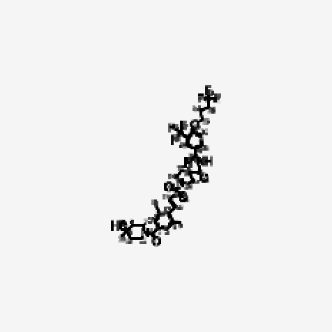 Cc1cc(C(=O)N2CCC(C)(O)CC2)cc(C)c1C=CS(=O)(=O)N1CCC2(CC1)N=C(c1ccc(OCCCC(F)(F)F)c(C(F)(F)F)c1)NC2=O